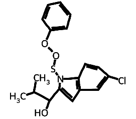 CC(C)C(O)c1cc2cc(Cl)ccc2n1SOOc1ccccc1